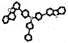 c1ccc(-c2ccc(N(c3ccc(-c4ccc5c(c4)sc4ccccc45)cc3)c3ccc(-c4cccc5oc6c7ccccc7ccc6c45)cc3)cc2)cc1